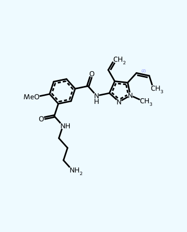 C=Cc1c(NC(=O)c2ccc(OC)c(C(=O)NCCCN)c2)nn(C)c1/C=C\C